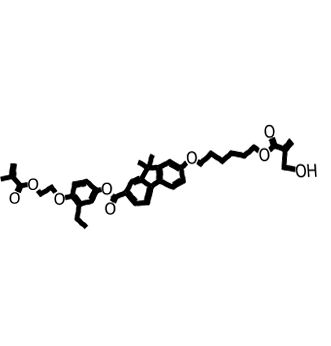 C=C(C)C(=O)OCCOc1ccc(OC(=O)c2ccc3c(c2)C(C)(C)c2cc(OCCCCCCOC(=O)C(=C)CO)ccc2-3)cc1CC